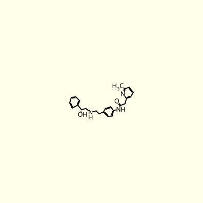 Cc1cccc(CC(=O)Nc2ccc(CCNC[C@H](O)c3ccccc3)cc2)n1